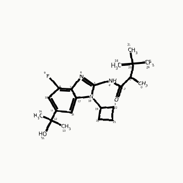 CC(C(=O)Nc1nc2c(F)cc(C(C)(C)O)cc2n1C1CCC1)C(C)(C)C(F)(F)F